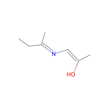 CC/C(C)=N/C=C(/C)O